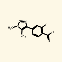 Cc1c(-c2ccc(C(=O)Cl)c(F)c2)nnn1C